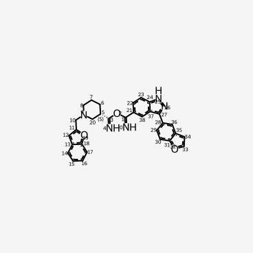 N=C(OC(=N)[C@H]1CCCN(Cc2cc3ccccc3o2)C1)c1ccc2[nH]nc(-c3ccc4occc4c3)c2c1